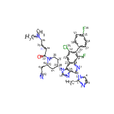 Cc1nccn1-c1nc2c(F)c(-c3ccc(F)cc3)c(Cl)cc2c2c1ncn2[C@H]1CCN(C(=O)/C=C/CN(C)C)[C@H](CC#N)C1